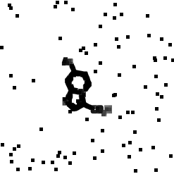 CC(=O)c1ccn2c(C(=O)O)cnc2c1